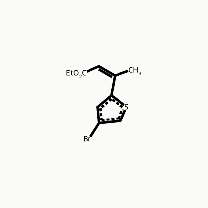 CCOC(=O)/C=C(/C)c1cc(Br)cs1